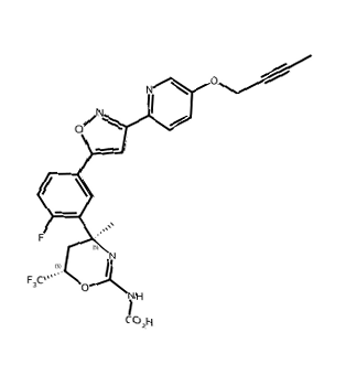 CC#CCOc1ccc(-c2cc(-c3ccc(F)c([C@]4(C)C[C@@H](C(F)(F)F)OC(NC(=O)O)=N4)c3)on2)nc1